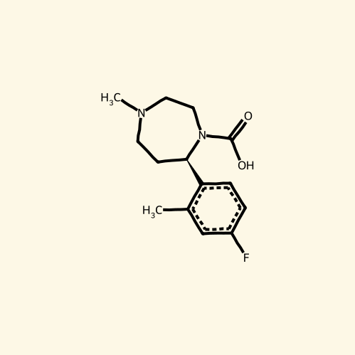 Cc1cc(F)ccc1[C@H]1CCN(C)CCN1C(=O)O